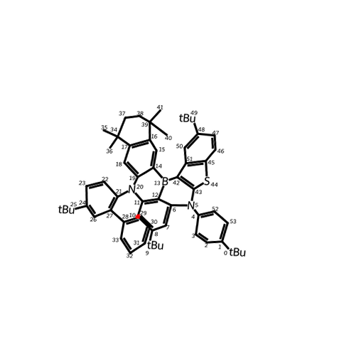 CC(C)(C)c1ccc(N2c3cc(C(C)(C)C)cc4c3B(c3cc5c(cc3N4c3ccc(C(C)(C)C)cc3-c3ccccc3)C(C)(C)CCC5(C)C)c3c2sc2ccc(C(C)(C)C)cc32)cc1